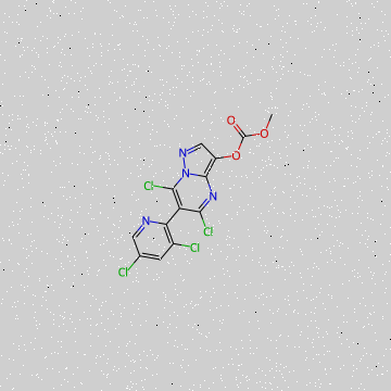 COC(=O)Oc1cnn2c(Cl)c(-c3ncc(Cl)cc3Cl)c(Cl)nc12